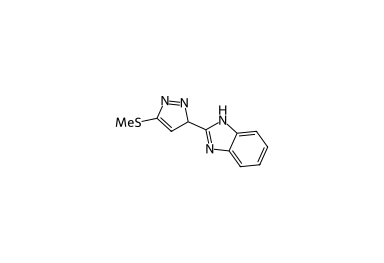 CSC1=CC(c2nc3ccccc3[nH]2)N=N1